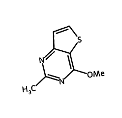 COc1nc(C)nc2ccsc12